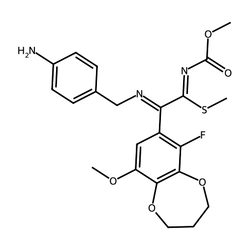 COC(=O)/N=C(SC)/C(=N/Cc1ccc(N)cc1)c1cc(OC)c2c(c1F)OCCCO2